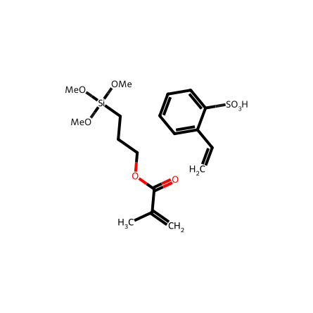 C=C(C)C(=O)OCCC[Si](OC)(OC)OC.C=Cc1ccccc1S(=O)(=O)O